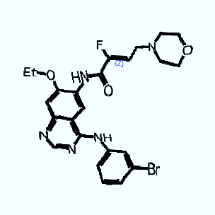 CCOc1cc2ncnc(Nc3cccc(Br)c3)c2cc1NC(=O)/C(F)=C/CN1CCOCC1